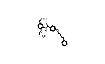 O=C(O)COc1ccc(CC(=O)O)cc1NC(=O)c1ccc(OCCCCc2ccccc2)cc1